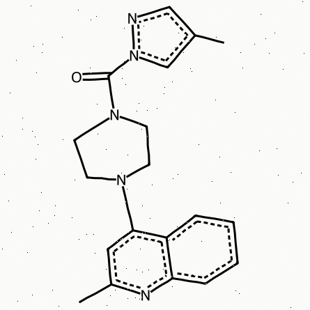 Cc1cnn(C(=O)N2CCN(c3cc(C)nc4ccccc34)CC2)c1